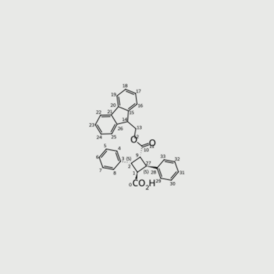 O=C(O)[C@H]1[C@H](c2ccccc2)[C@H](C(=O)OCC2c3ccccc3-c3ccccc32)[C@H]1c1ccccc1